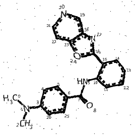 CN(C)c1ccc(C(=O)Nc2ccccc2-c2nc3cnccc3o2)cc1